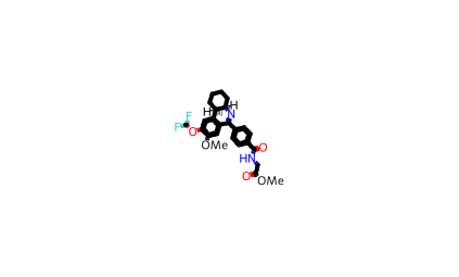 COC(=O)CNC(=O)c1ccc(C2=N[C@@H]3CCCC[C@@H]3c3cc(OC(F)F)c(OC)cc32)cc1